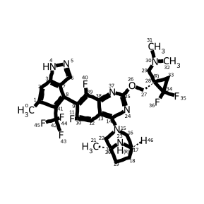 Cc1cc2[nH]ncc2c(-c2c(F)cc3c(N4C[C@H]5CC[C@@](C)(C4)N5)nc(OC[C@]4(CN(C)C)CC4(F)F)nc3c2F)c1C(F)(F)F